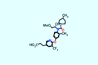 COC[C@H](C)N(c1ccc(Oc2ncc(CCC(=O)O)cc2C(F)(F)F)cc1C)C(=O)[C@H]1CC[C@H](C)CC1